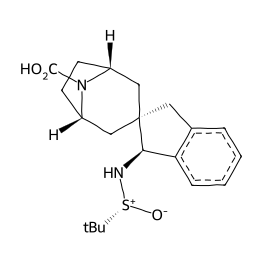 CC(C)(C)[S@@+]([O-])N[C@@H]1c2ccccc2C[C@]12C[C@H]1CC[C@@H](C2)N1C(=O)O